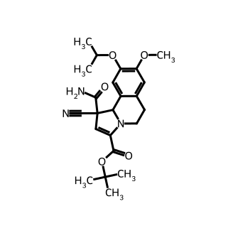 COc1cc2c(cc1OC(C)C)C1N(CC2)C(C(=O)OC(C)(C)C)=CC1(C#N)C(N)=O